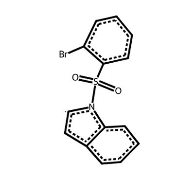 O=S(=O)(c1ccccc1Br)n1[c]cc2ccccc21